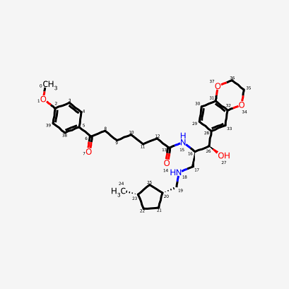 COc1ccc(C(=O)CCCCCC(=O)N[C@H](CNC[C@@H]2CC[C@H](C)C2)[C@H](O)c2ccc3c(c2)OCCO3)cc1